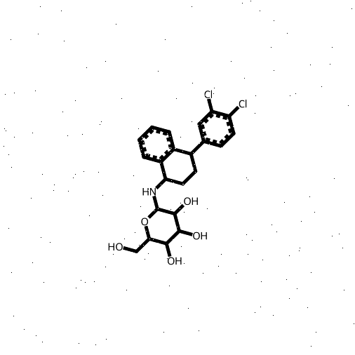 OCC1OC(NC2CCC(c3ccc(Cl)c(Cl)c3)c3ccccc32)C(O)C(O)C1O